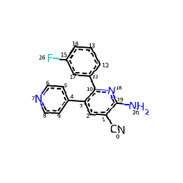 N#Cc1cc(-c2ccncc2)c(-c2cccc(F)c2)nc1N